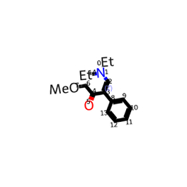 CCN(/C=C(\C(=O)COC)c1ccccc1)CC